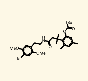 COc1cc(CCNC(=O)CC(C)(C)c2c(C)cc(C)cc2OC(=O)C(C)(C)C)c(OC)cc1Br